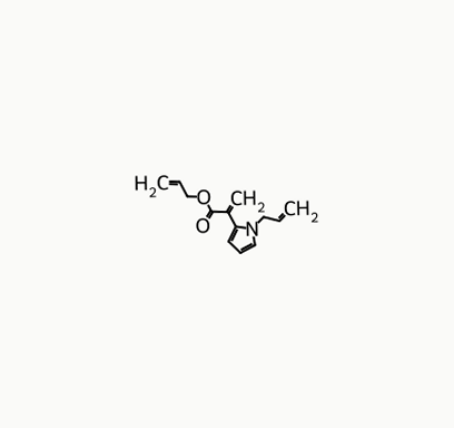 C=CCOC(=O)C(=C)c1cccn1CC=C